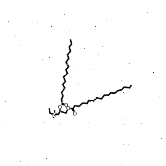 CCCCCCCCCCCCCCCCCC(=O)OCC(C[N+](C)(C)CC)OC(=O)CCCCCCCCCCCCCCCCC